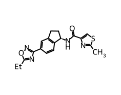 CCc1nc(-c2ccc3c(c2)CC[C@H]3NC(=O)c2csc(C)n2)no1